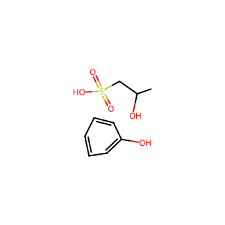 CC(O)CS(=O)(=O)O.Oc1ccccc1